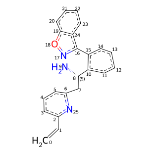 C=Cc1cccc(C[C@H](N)c2ccccc2-c2noc3ccccc23)n1